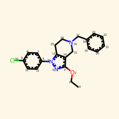 CCOc1nn(-c2ccc(Cl)cc2)c2c1CN(Cc1ccccc1)CC2